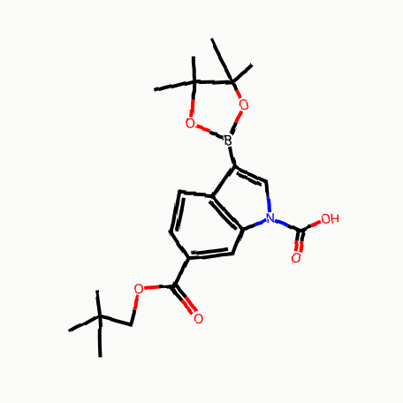 CC(C)(C)COC(=O)c1ccc2c(B3OC(C)(C)C(C)(C)O3)cn(C(=O)O)c2c1